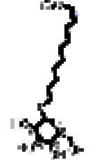 CCCCCCCCCC/C=C\CCCCCCCCOC1O[C@H](CO)[C@@H](O)[C@H](O)[C@H]1O